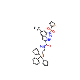 Cc1cc(NS(=O)(=O)c2cccs2)c2[nH]c(C(=O)NCCSC(c3ccccc3)(c3ccccc3)c3ccccc3)cc2c1